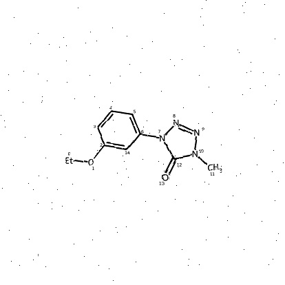 CCOc1cccc(-n2nnn(C)c2=O)c1